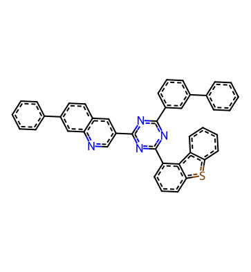 c1ccc(-c2cccc(-c3nc(-c4cnc5cc(-c6ccccc6)ccc5c4)nc(-c4cccc5sc6ccccc6c45)n3)c2)cc1